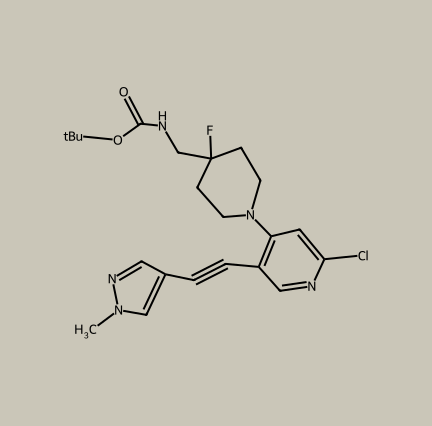 Cn1cc(C#Cc2cnc(Cl)cc2N2CCC(F)(CNC(=O)OC(C)(C)C)CC2)cn1